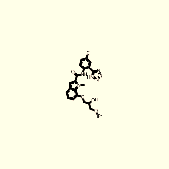 CC(C)OCC(O)COc1cccc2cc(C(=O)Nc3ccc(Cl)cc3-c3nnn[nH]3)n(C)c12